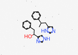 CC(Cc1cnc[nH]1)c1ccccc1.OC(Cc1ccccc1)c1c[nH]cn1